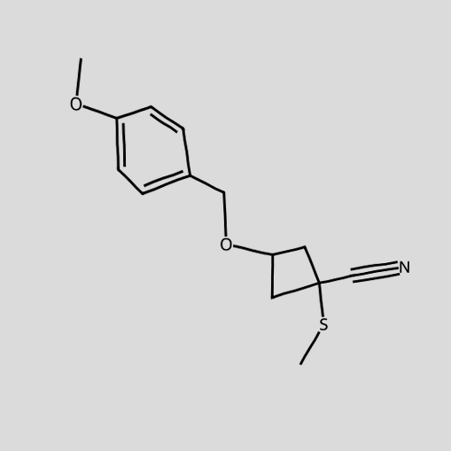 COc1ccc(COC2CC(C#N)(SC)C2)cc1